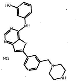 Cl.Oc1cccc(Nc2ncnc3cc(-c4cccc(CN5CCNCC5)c4)sc23)c1